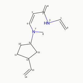 C=CNC(=C)/C=C\N(C)C1CCC(C=C)C1